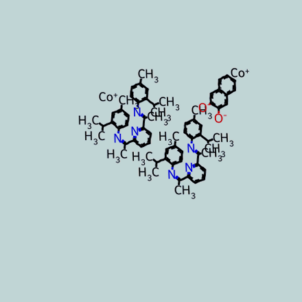 CC(=Nc1ccc(C)cc1C(C)C)c1cccc(C(C)=Nc2ccc(C)cc2C(C)C)n1.CC(=Nc1ccc(C)cc1C(C)C)c1cccc(C(C)=Nc2ccc(C)cc2C(C)C)n1.[Co+].[Co+].[O-]c1cc2ccccc2cc1[O-]